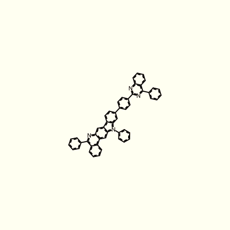 c1ccc(-c2nc(-c3ccc(-c4ccc5c6cc7nc(-c8ccccc8)c8ccccc8c7cc6n(-c6ccccc6)c5c4)cc3)nc3ccccc23)cc1